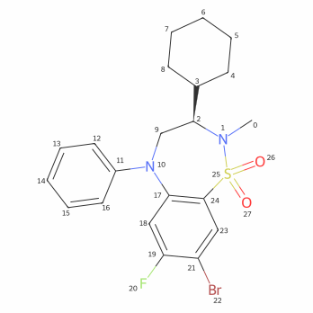 CN1[C@H](C2CCCCC2)CN(c2ccccc2)c2cc(F)c(Br)cc2S1(=O)=O